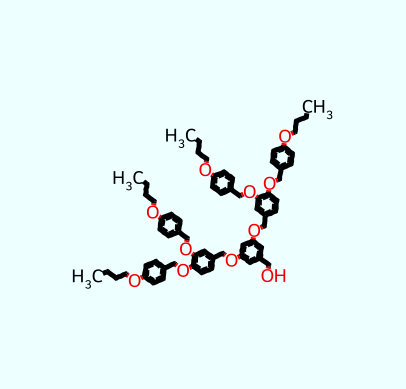 CCCCOc1ccc(COc2ccc(COc3cc(CO)cc(OCc4ccc(OCc5ccc(OCCCC)cc5)c(OCc5ccc(OCCCC)cc5)c4)c3)cc2OCc2ccc(OCCCC)cc2)cc1